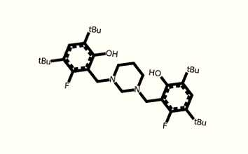 CC(C)(C)c1cc(C(C)(C)C)c(F)c(CN2CCCN(Cc3c(O)c(C(C)(C)C)cc(C(C)(C)C)c3F)C2)c1O